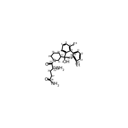 [CH2]CCC(O)(c1cccc(F)c1-c1cccc(CC)c1)C1CCCN(C(=O)[C@@H](N)CCC(N)=O)C1